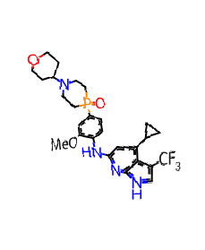 COc1cc(P2(=O)CCN(C3CCOCC3)CC2)ccc1Nc1cc(C2CC2)c2c(C(F)(F)F)c[nH]c2n1